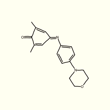 CC1=CC(=Nc2ccc(N3CCOCC3)cc2)C=C(C)C1=O